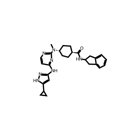 CN(c1nccc(Nc2cc(C3CC3)[nH]n2)n1)[C@H]1CC[C@H](C(=O)NC2Cc3ccccc3C2)CC1